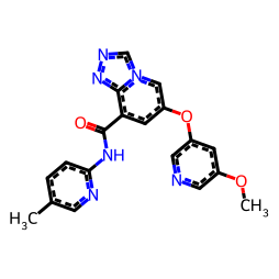 COc1cncc(Oc2cc(C(=O)Nc3ccc(C)cn3)c3nncn3c2)c1